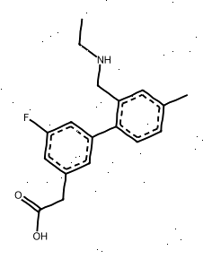 CCNCc1cc(C)ccc1-c1cc(F)cc(CC(=O)O)c1